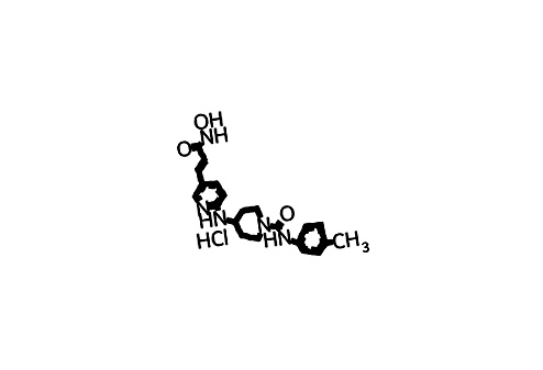 Cc1ccc(NC(=O)N2CCC(Nc3ccc(C=CC(=O)NO)cn3)CC2)cc1.Cl